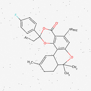 CCCCCc1cc2c(c3c1C(=O)OC(CC(C)=O)(c1ccc(F)cc1)O3)C1C=C(C)CCC1C(C)(C)O2